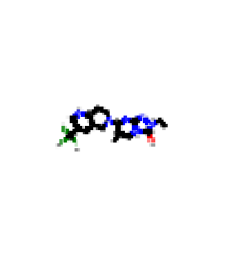 CCn1nc2nc(N3CCc4ncc(C(F)(F)F)cc4C3)c(C)cn2c1=O